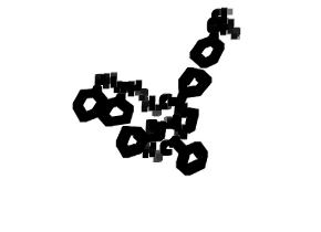 CC(c1ccccc1)n1ccn(C(C)c2ccccc2)[c]1=[Ru+2]=[CH]c1ccccc1.PC1CCCCC1.PC1CCCCC1.PC1CCCCC1.[Cl-].[Cl-]